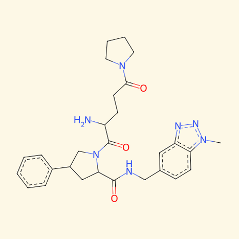 Cn1nnc2cc(CNC(=O)C3CC(c4ccccc4)CN3C(=O)C(N)CCC(=O)N3CCCC3)ccc21